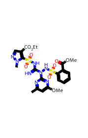 CCOC(=O)c1cnn(C)c1S(=O)(=O)NC(=N)N(NS(=O)(=O)c1ccccc1C(=O)OC)c1nc(C)cc(OC)n1